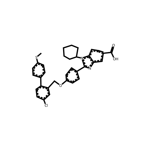 CSc1ccc(-c2ccc(Cl)cc2COc2ccc(-c3nc4cc(C(=O)O)ccc4n3C3CCCCC3)cc2)cc1